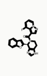 O=C(c1cnn2cccc(F)c12)N1CCc2[nH]cnc2[C@H]1c1cc2ccccc2o1